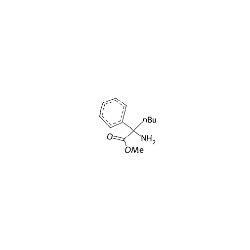 CCCCC(N)(C(=O)OC)c1ccccc1